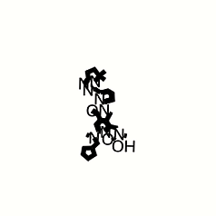 CN(Cc1nc(N(C)CC2CCCC2)cc2c1CN(c1cccc(-c3nnc4n3C(C)(C)CC4)n1)C2=O)C(=O)O